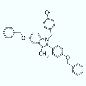 Cc1c(-c2ccc(OCc3ccccc3)cc2)n(Cc2ccc([O])cc2)c2ccc(OCc3ccccc3)cc12